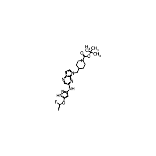 CC(C)(C)OC(=O)N1CCC(Cn2ccc3ncc(Nc4cc(OC(F)F)[nH]n4)nc32)CC1